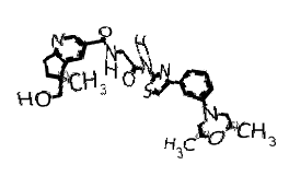 C[C@@H]1CN(c2cccc(-c3csc(NC(=O)CNC(=O)c4cnc5c(c4)[C@@](C)(CO)CC5)n3)c2)C[C@H](C)O1